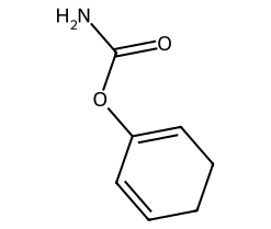 NC(=O)OC1=CCCC=C1